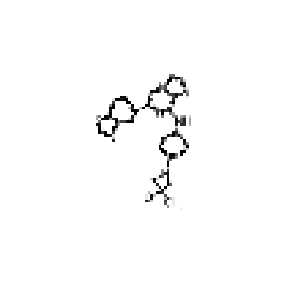 CC1(O)CN(c2ccc(Nc3nc(-c4ccc5scnc5c4)cn4ccnc34)cc2)C1